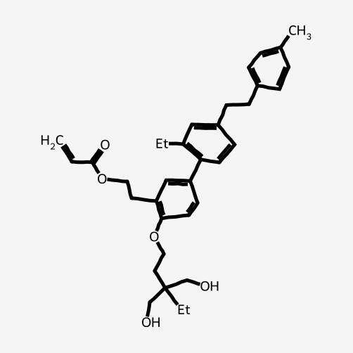 C=CC(=O)OCCc1cc(-c2ccc(CCc3ccc(C)cc3)cc2CC)ccc1OCCC(CC)(CO)CO